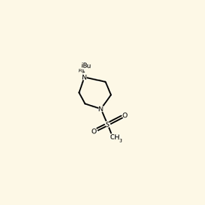 CC[C@@H](C)N1CCN(S(C)(=O)=O)CC1